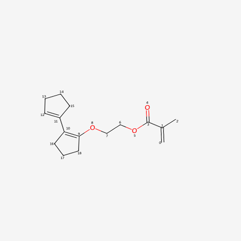 C=C(C)C(=O)OCCOC1=C(C2=CCCC2)CCC1